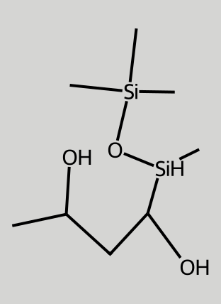 CC(O)CC(O)[SiH](C)O[Si](C)(C)C